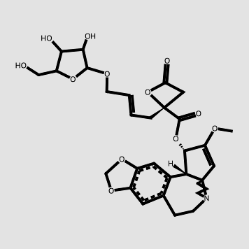 COC1=C[C@]23CCCN2CCc2cc4c(cc2[C@@H]3[C@@H]1OC(=O)[C@@]1(C/C=C/COC2OC(CO)C(O)C2O)CC(=O)O1)OCO4